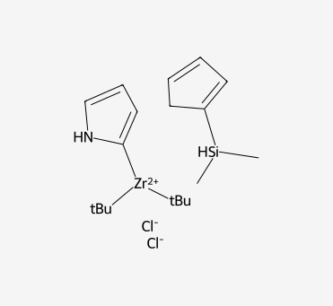 C[C](C)(C)[Zr+2]([c]1ccc[nH]1)[C](C)(C)C.C[SiH](C)C1=CC=CC1.[Cl-].[Cl-]